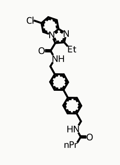 CCCC(=O)NCc1ccc(-c2ccc(CNC(=O)c3c(CC)nc4ccc(Cl)cn34)cc2)cc1